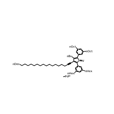 CCCCCCCCCCCCCCCCCCCCCCCCCC#CC1=C(c2cc(CCCCCC)cc(CCCCCC)c2)[N+](=[N-])C(c2cc(CCCCCCCC)cc(CCCCCCCC)c2)=C1CCCC.[CH3][Pd][CH3]